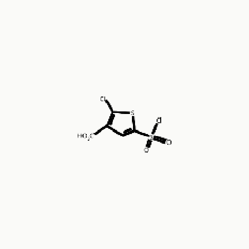 O=C(O)c1cc(S(=O)(=O)Cl)sc1Cl